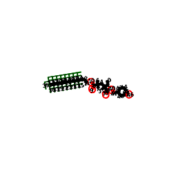 CCC(C)(CC(C)(C)C(=O)OCCC(F)(F)C(F)(F)C(F)(F)C(F)(F)C(F)(F)C(F)(F)C(F)(F)C(F)(F)F)C(=O)OCC1CCC2OC2C1